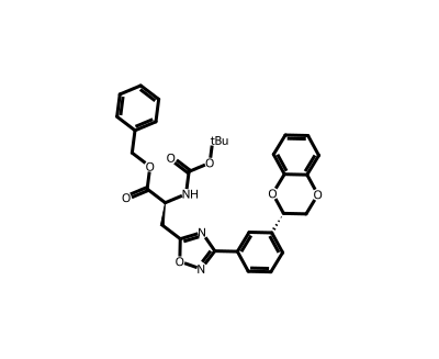 CC(C)(C)OC(=O)N[C@@H](Cc1nc(-c2cccc([C@H]3COc4ccccc4O3)c2)no1)C(=O)OCc1ccccc1